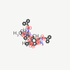 CC(=O)O[C@@]12COC1C[C@H](O)C1(C)C(=O)[C@H](OC(=O)CNC(=O)OCC3c4ccccc4-c4ccccc43)C3=C(C)[C@@H](OC(=O)[C@H](OC(=O)CNC(=O)OCC4c5ccccc5-c5ccccc54)[C@@H](NC(=O)OC(C)(C)C)c4ccccc4)C[C@](O)(C3)[C@@H](OC(=O)c3ccccc3)C12